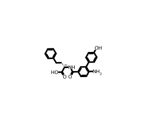 Nc1ccc(C(=O)N[C@@H](CCc2ccccc2)C(=O)O)cc1-c1ccc(O)cc1